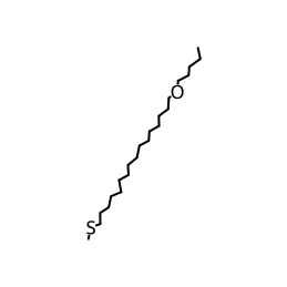 CCCCCOCCCCCCCCCCCCCCCCSC